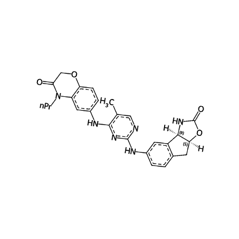 CCCN1C(=O)COc2ccc(Nc3nc(Nc4ccc5c(c4)[C@H]4NC(=O)O[C@H]4C5)ncc3C)cc21